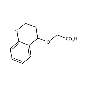 O=C(O)COC1CCOc2ccccc21